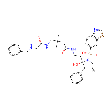 CC(C)CN(C(O)(CCNC(=O)CC(C)(C)CNC(=O)CNCc1ccccc1)Cc1ccccc1)S(=O)(=O)c1ccc2ncsc2c1